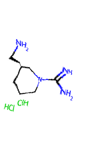 Cl.Cl.N=C(N)N1CCC[C@@H](CN)C1